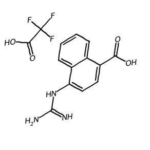 N=C(N)Nc1ccc(C(=O)O)c2ccccc12.O=C(O)C(F)(F)F